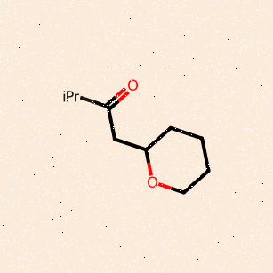 CC(C)C(=O)CC1CCCCO1